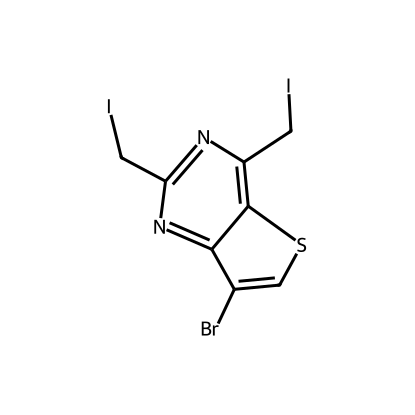 Brc1csc2c(CI)nc(CI)nc12